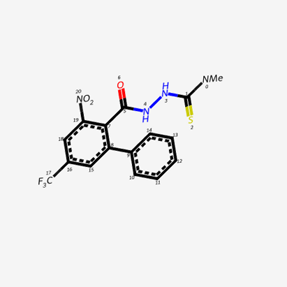 CNC(=S)NNC(=O)c1c(-c2ccccc2)cc(C(F)(F)F)cc1[N+](=O)[O-]